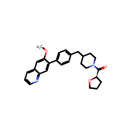 COc1cc2cccnc2cc1-c1ccc(CC2CCN(C(=O)[C@H]3CCCO3)CC2)cc1